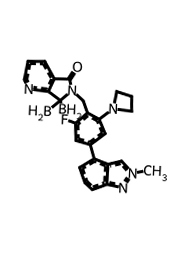 BC1(B)c2ncccc2C(=O)N1Cc1c(F)cc(-c2cccc3nn(C)cc23)cc1N1CCC1